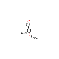 COc1cc(C2C=CC(O)=CC2)ccc1OCCOCC(C)C